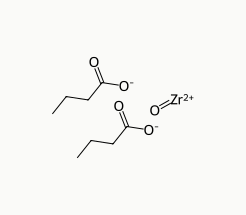 CCCC(=O)[O-].CCCC(=O)[O-].[O]=[Zr+2]